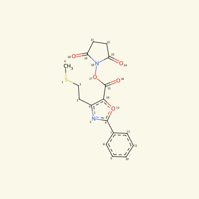 CSCCc1nc(-c2ccccc2)oc1C(=O)ON1C(=O)CCC1=O